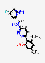 Cc1cc(C(F)(F)F)cc(O)c1-c1ccc(NC[C@@H]2C[C@@H](F)CN2)nn1